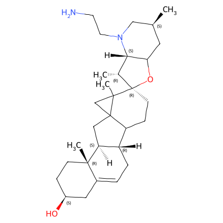 C[C@H]1CC2O[C@]3(CCC4[C@@H]5CC=C6C[C@@H](O)CC[C@]6(C)[C@H]5CC45CC53C)[C@H](C)[C@@H]2N(CCN)C1